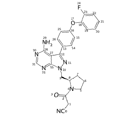 N#CCC(=O)N1CCC[C@@H]1Cn1nc(-c2ccc(Oc3ccccc3F)cc2)c2c(N)ncnc21